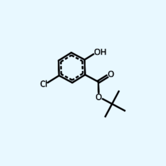 CC(C)(C)OC(=O)c1cc(Cl)ccc1O